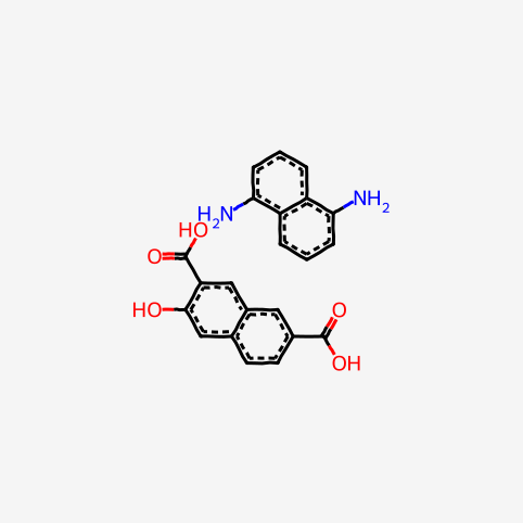 Nc1cccc2c(N)cccc12.O=C(O)c1ccc2cc(O)c(C(=O)O)cc2c1